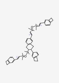 C[Si](C)(/C=C/c1ccc2c(c1)CC2)O[Si](C)(C)/C=C/c1ccc2c(c1)CC(c1ccc3c(c1)CC3)C([Si](C)(C)O[Si](C)(C)/C=C/c1ccc3c(c1)CC3)C2